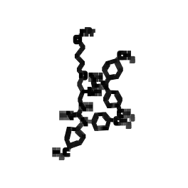 CCCOCCCCOCC(CNC(=N)N(c1ccc(C)cc1)c1ccc(C)cc1)NC(=N)N(c1ccc(C)cc1)c1ccc(C)cc1